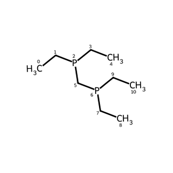 CCP(CC)CP(CC)CC